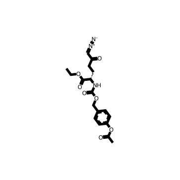 CCOC(=O)[C@H](CCC(=O)C=[N+]=[N-])NC(=O)OCc1ccc(OC(C)=O)cc1